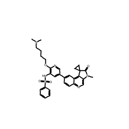 CN(C)CCCCOc1ncc(-c2ccc3ncc4c(c3c2)C2(CC2)C(=O)N4C)cc1NS(=O)(=O)c1ccccc1